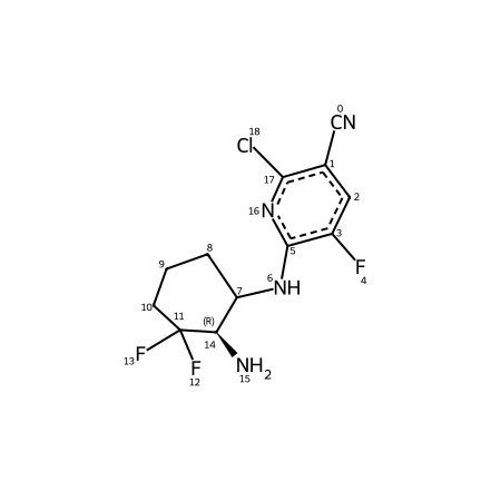 N#Cc1cc(F)c(NC2CCCC(F)(F)[C@@H]2N)nc1Cl